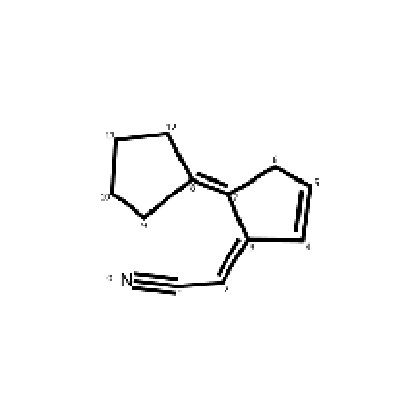 N#CC=C1C=CCC1=C1CCCC1